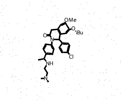 CC[C@@H](C)Oc1cc2c(cc1OC)CC(=O)N(c1ccc(C(C)NCCN(C)C)cc1)C2c1ccc(Cl)cc1